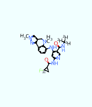 [2H]C([2H])([2H])NC(=O)c1cnc(NC(=O)C2C[C@H]2F)cc1Nc1cccc2c1N(C)Cc1cn(C)nc1-2